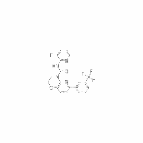 O=C(Nc1ncccc1F)N1CCOc2ccc(-c3cccc(C(F)(F)F)c3)nc21